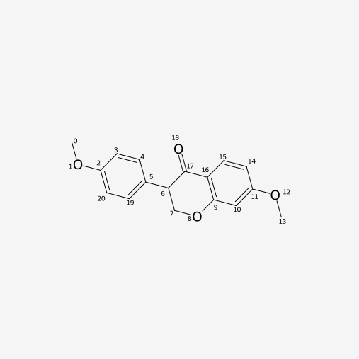 COc1ccc(C2COc3cc(OC)ccc3C2=O)cc1